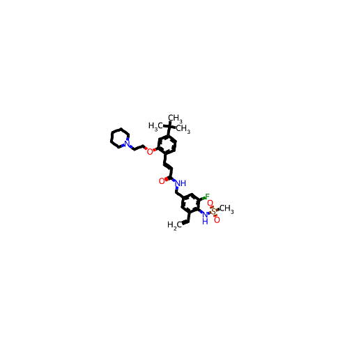 C=Cc1cc(CNC(=O)C=Cc2ccc(C(C)(C)C)cc2OCCN2CCCCC2)cc(F)c1NS(C)(=O)=O